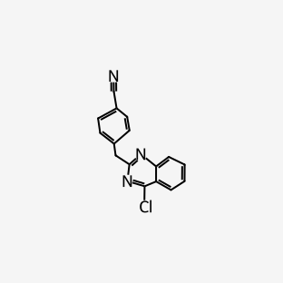 N#Cc1ccc(Cc2nc(Cl)c3ccccc3n2)cc1